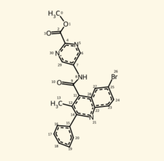 COC(=O)c1ncc(NC(=O)c2c(C)c(-c3ccccc3)nc3ccc(Br)cc23)cn1